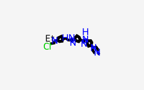 CCN(CCCl)c1ccc(CCc2nc3cc(-c4nc5cc(N6CCN(C)CC6)ccc5[nH]4)ccc3[nH]2)cc1